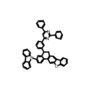 c1ccc(-c2cc(-c3cccc(C4Cc5cc6c(cc5-c5ccc(-n7c8ccccc8c8ccccc87)cc54)oc4ccccc46)c3)nc(-c3ccccc3)n2)cc1